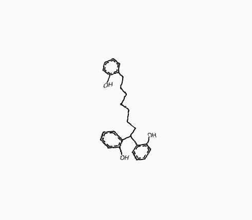 Oc1ccccc1CCCCCCCC(c1ccccc1O)c1ccccc1O